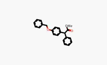 COC(=O)C(c1ccccc1)c1ccc(OCc2ccccc2)cc1